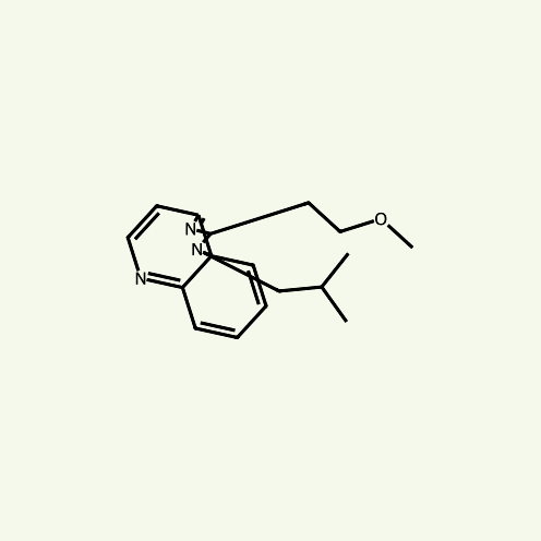 COCCC1N=C2C=CN=C3C=CC=CC32N1CC(C)C